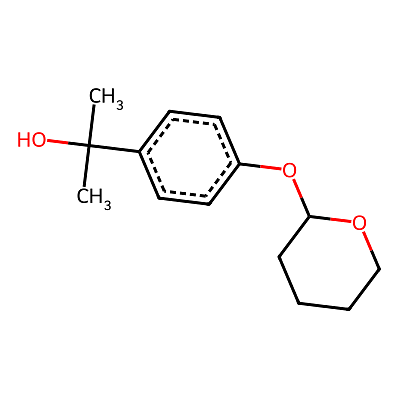 CC(C)(O)c1ccc(OC2CCCCO2)cc1